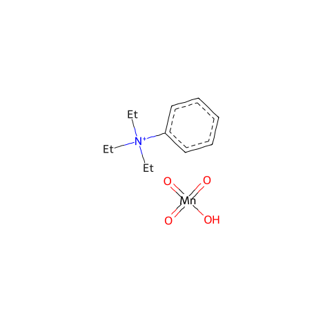 CC[N+](CC)(CC)c1ccccc1.[O]=[Mn](=[O])(=[O])[OH]